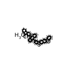 CC1(C)c2ccccc2-c2ccc(-c3c4ccccc4c(-c4ccc5sc6cc7cc8oc9ccccc9c8cc7cc6c5c4)c4ccccc34)cc21